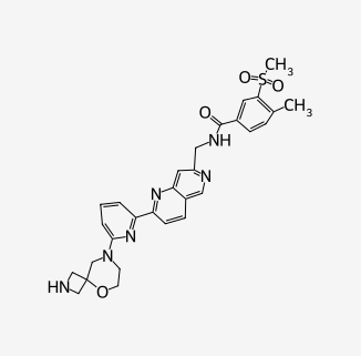 Cc1ccc(C(=O)NCc2cc3nc(-c4cccc(N5CCOC6(CNC6)C5)n4)ccc3cn2)cc1S(C)(=O)=O